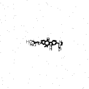 COCn1ccnc1-c1ccc2c3c([nH]c2c1)C(C)(C)c1cc(OC[C@H](O)CO)ccc1C3=O